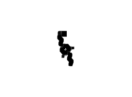 CCCCN1[C@H](C)CN(CCCO)C[C@@H]1C